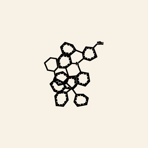 CC(C)(C)c1ccc(N(c2ccccc2-c2cccc3cccc(C4CCCCC4)c23)c2cccc3c2-c2ccccc2C3(c2ccccc2)c2ccccc2)c(-c2ccccc2)c1